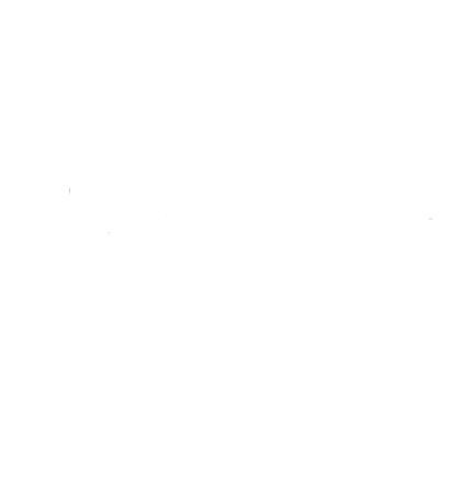 CC(C)(C)[Si](OCCCCCCCCCC(Br)Br)(c1ccccc1)c1ccccc1